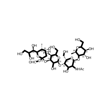 CC(=O)NC1C(O)[C@H](O[C@@H]2OC(CO)[C@H](O)[C@H](O[C@]3(OC=O)C[C@@H](O)[C@@H](C)C([C@H](O)C(O)CO)O3)C2O)[C@H](CO)O[C@H]1OC1[C@@H](O)[C@H](O)C(CO)O[C@@H]1C